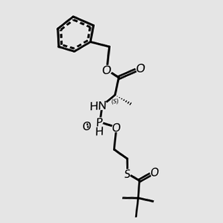 C[C@H](N[PH](=O)OCCSC(=O)C(C)(C)C)C(=O)OCc1ccccc1